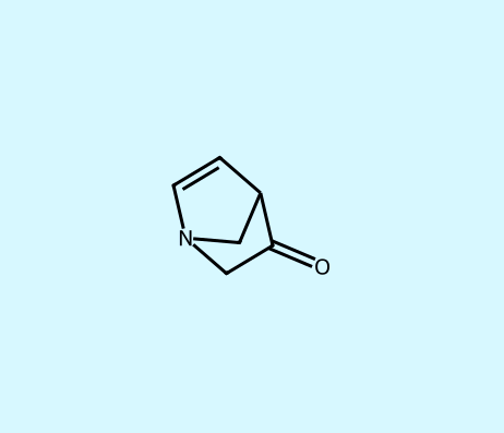 O=C1CN2C=CC1C2